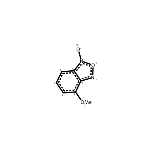 COc1cccc2c1no[n+]2[O-]